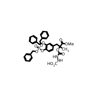 COC(=O)C(C)(Cc1ccc(OP(=O)(OCc2ccccc2)OCc2ccccc2)c(OCc2ccccc2)c1)OC(=O)NNC(=O)O